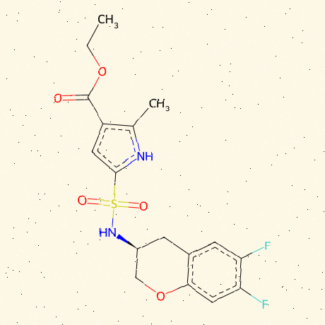 CCOC(=O)c1cc(S(=O)(=O)N[C@@H]2COc3cc(F)c(F)cc3C2)[nH]c1C